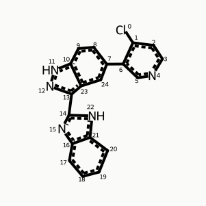 Clc1ccncc1-c1ccc2[nH]nc(-c3nc4ccccc4[nH]3)c2c1